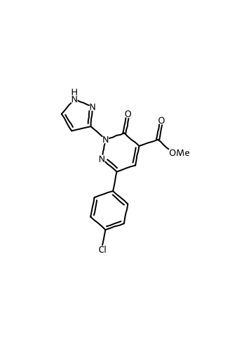 COC(=O)c1cc(-c2ccc(Cl)cc2)nn(-c2cc[nH]n2)c1=O